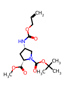 C=CCOC(=O)N[C@H]1C[C@@H](C(=O)OC)N(C(=O)OC(C)(C)C)C1